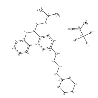 CN(C)CCC(Sc1ccccc1)c1ccc(OCCCN2CCCCC2)cc1.O=C(O)C(F)(F)F